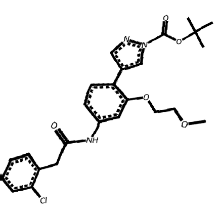 COCCOc1cc(NC(=O)Cc2ccccc2Cl)ccc1-c1cnn(C(=O)OC(C)(C)C)c1